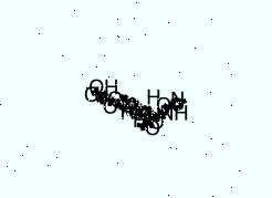 Cc1ccc(C(=O)NC(C)(C)C(=O)N[C@@]23CC[C@]4(C)[C@H](CC[C@@H]5[C@@]6(C)CC[C@H](OC(=O)[C@H]7C[C@@H](C(=O)O)C7(C)C)C(C)(C)C6CC[C@]54C)C2=C(C(C)C)C(=O)C3)cn1